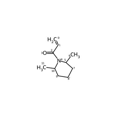 C=CC(=O)N1C(C)C[CH]CC1C